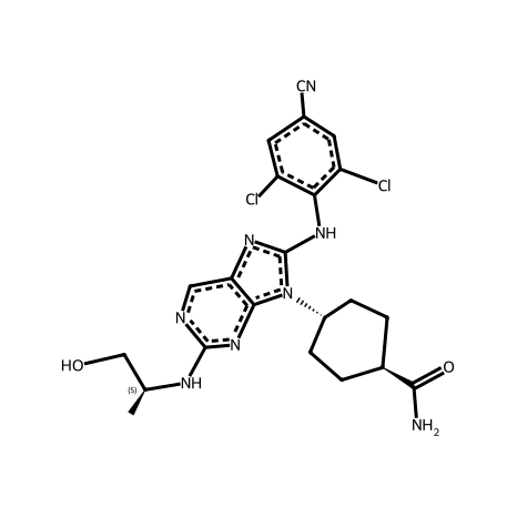 C[C@@H](CO)Nc1ncc2nc(Nc3c(Cl)cc(C#N)cc3Cl)n([C@H]3CC[C@H](C(N)=O)CC3)c2n1